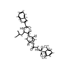 CC(C)CC(NC(=O)c1cc2ccccc2s1)C(=O)N1C[C@@H]2C[C@H]1CN2C(=O)CNS(=O)(=O)c1c(Cl)cccc1Cl